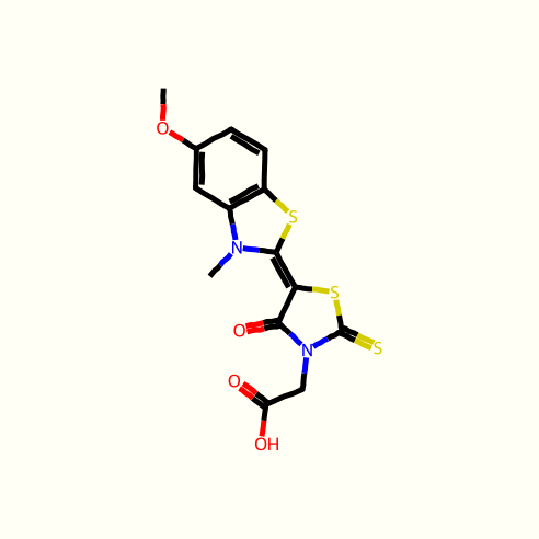 COc1ccc2c(c1)N(C)C(=C1SC(=S)N(CC(=O)O)C1=O)S2